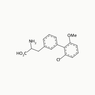 COc1cccc(Cl)c1-c1cccc(CC(N)C(=O)O)c1